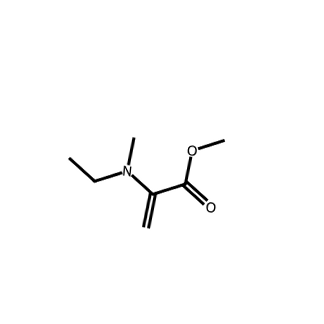 C=C(C(=O)OC)N(C)CC